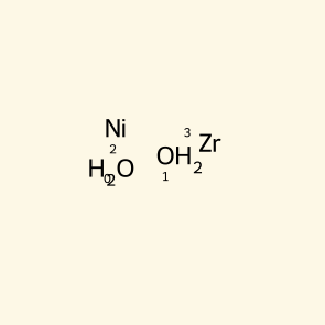 O.O.[Ni].[Zr]